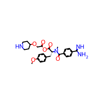 COc1ccc(C[C@H](C(=O)OC(=O)COC2CCNCC2)N(C)C(=O)c2ccc(C(=N)N)cc2)cc1